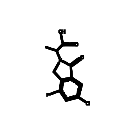 CC(C(=O)O)N1Cc2c(F)cc(Cl)cc2C1=O